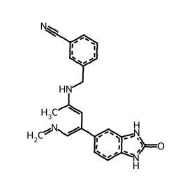 C=N/C=C(\C=C(/C)NCc1cccc(C#N)c1)c1ccc2[nH]c(=O)[nH]c2c1